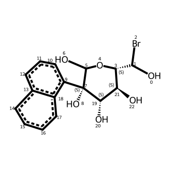 OC(Br)[C@H]1OC(O)[C@](O)(c2cccc3ccccc23)[C@@H](O)[C@@H]1O